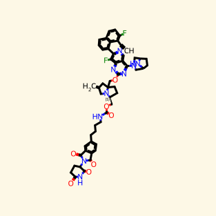 C#Cc1c(F)ccc2cccc(-c3ncc4c(N5CC6CCC(C5)N6)nc(OCC56CC[C@@H](COC(=O)NCCCCc7ccc8c(c7)C(=O)N(C7CCC(=O)NC7=O)C8=O)N5CC(=C)C6)nc4c3F)c12